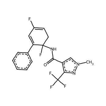 Cn1cc(C(=O)NC2(F)CC=C(F)C=C2c2ccccc2)c(C(F)(F)F)n1